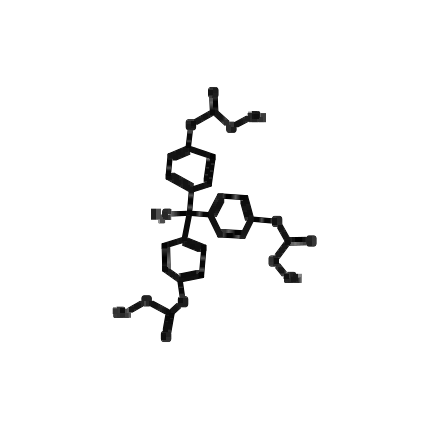 CC(C)(C)OC(=O)Oc1ccc(C(C)(c2ccc(OC(=O)OC(C)(C)C)cc2)c2ccc(OC(=O)OC(C)(C)C)cc2)cc1